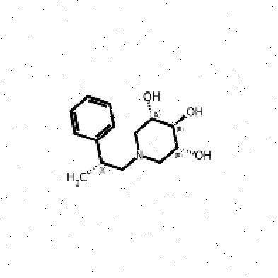 C[C@@H](CN1C[C@@H](O)[C@H](O)[C@@H](O)C1)c1ccccc1